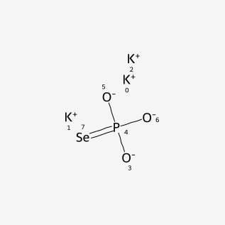 [K+].[K+].[K+].[O-]P([O-])([O-])=[Se]